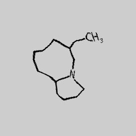 CC1CCCC2CCN12